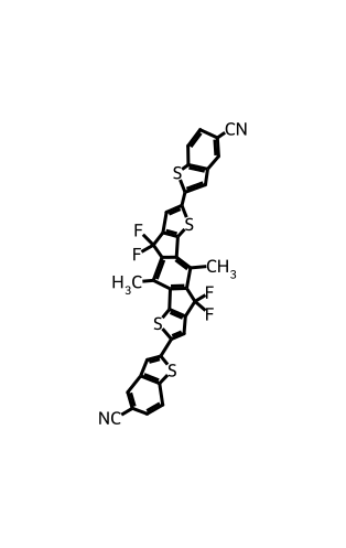 Cc1c2c(c(C)c3c1C(F)(F)c1cc(-c4cc5cc(C#N)ccc5s4)sc1-3)C(F)(F)c1cc(-c3cc4cc(C#N)ccc4s3)sc1-2